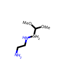 COC(OC)[SiH2]NCCN